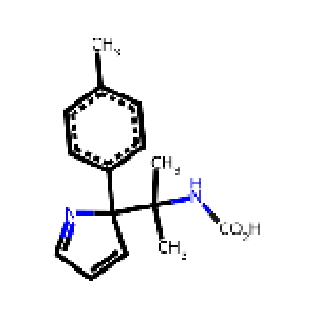 Cc1ccc(C2(C(C)(C)NC(=O)O)C=CC=N2)cc1